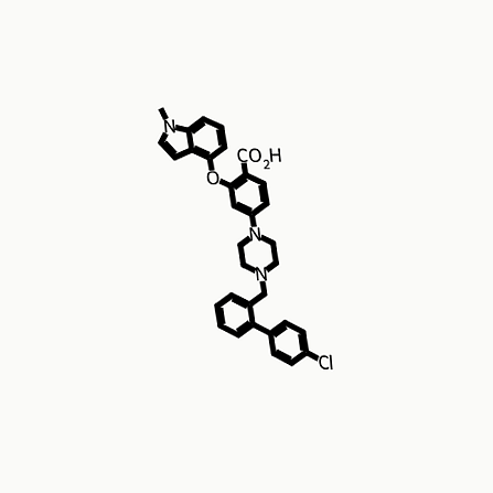 Cn1ccc2c(Oc3cc(N4CCN(Cc5ccccc5-c5ccc(Cl)cc5)CC4)ccc3C(=O)O)cccc21